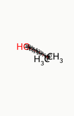 CCC(C)CCCCCCCCCCCCCCCCCO